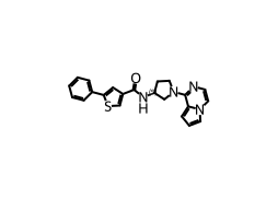 O=C(N[C@H]1CCN(c2nccn3cccc23)C1)c1csc(-c2ccccc2)c1